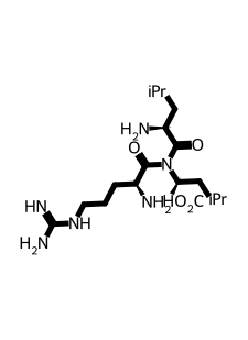 CC(C)C[C@H](N)C(=O)N(C(=O)[C@@H](N)CCCNC(=N)N)[C@@H](CC(C)C)C(=O)O